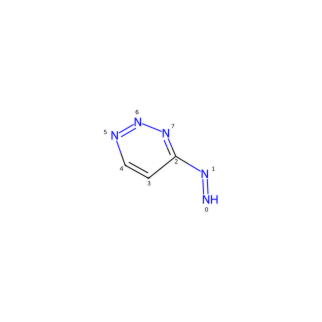 N=Nc1ccnnn1